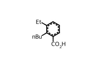 CCCCc1c(CC)cccc1C(=O)O